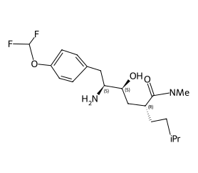 CNC(=O)[C@H](CCC(C)C)C[C@H](O)[C@@H](N)Cc1ccc(OC(F)F)cc1